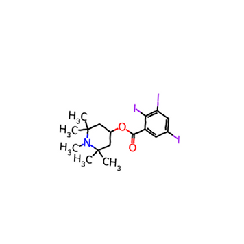 CN1C(C)(C)CC(OC(=O)c2cc(I)cc(I)c2I)CC1(C)C